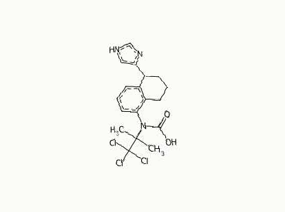 CC(C)(N(C(=O)O)c1cccc2c1CCCC2c1c[nH]cn1)C(Cl)(Cl)Cl